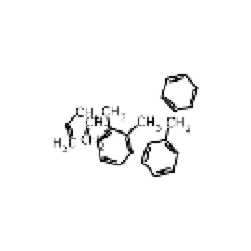 C=C.C=CC.Cc1ccccc1.Cc1ccccc1C.c1ccccc1